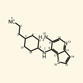 N#CCCC1CCC(Nc2c(N)cnc3ccsc23)CC1